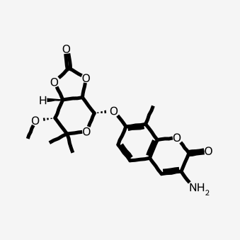 CO[C@@H]1[C@@H]2OC(=O)OC2[C@H](Oc2ccc3cc(N)c(=O)oc3c2C)OC1(C)C